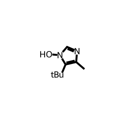 Cc1ncn(O)c1C(C)(C)C